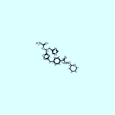 NC(=O)O[C@@H](Cc1cscn1)c1nc(Cc2ccc(C(=O)NOC3CCCCO3)cc2)no1